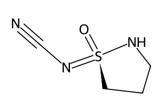 N#CN=[S@@]1(=O)CCCN1